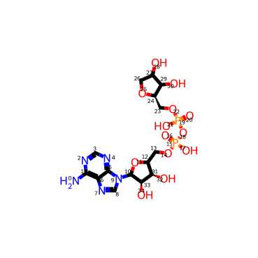 Nc1ncnc2c1ncn2C1OC(COP(=O)(O)OP(=O)(O)OC[C@H]2OCC(O)C2O)[C@@H](O)[C@H]1O